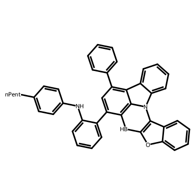 CCCCCc1ccc(Nc2ccccc2-c2cc(-c3ccccc3)c3c4ccccc4n4c3c2Bc2oc3ccccc3c2-4)cc1